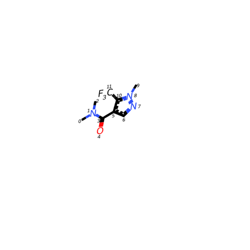 CN(C)C(=O)c1cnn(C)c1C(F)(F)F